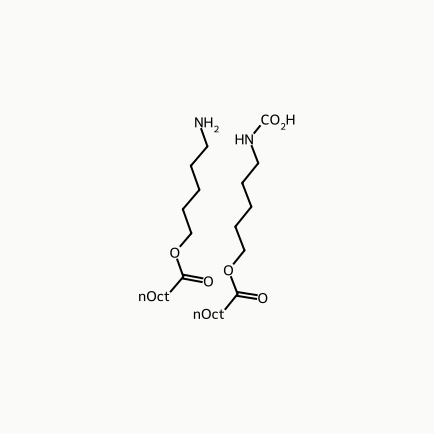 CCCCCCCCC(=O)OCCCCCN.CCCCCCCCC(=O)OCCCCCNC(=O)O